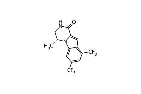 C[C@@H]1CNC(=O)c2cc3c(C(F)(F)F)cc(C(F)(F)F)cc3n21